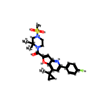 CCCS(=O)(=O)N1CCN(C(=O)c2cc3nc(-c4ccc(F)cc4)cc(C4(C)CC4)c3o2)C(C)(C)C1